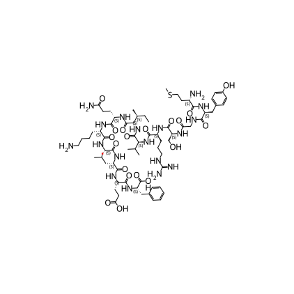 CC[C@H](C)[C@H](NC(=O)[C@@H](NC(=O)[C@H](CCCNC(=N)N)NC(=O)[C@H](CO)NC(=O)CNC(=O)[C@H](Cc1ccc(O)cc1)NC(=O)[C@@H](N)CCSC)C(C)C)C(=O)N[C@@H](CCC(N)=O)C(=O)N[C@@H](CCCCN)C(=O)N[C@@H](C)C(=O)N[C@@H](CC(C)C)C(=O)N[C@@H](CCC(=O)O)C(=O)N[C@@H](Cc1ccccc1)C(=O)O